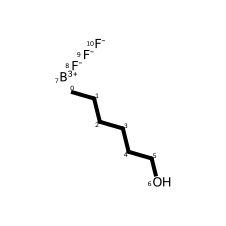 CCCCCCO.[B+3].[F-].[F-].[F-]